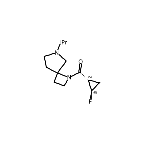 CC(C)N1CCC2(CCN2C(=O)[C@@H]2C[C@H]2F)C1